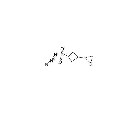 [N-]=[N+]=NS(=O)(=O)C1CC(C2CO2)C1